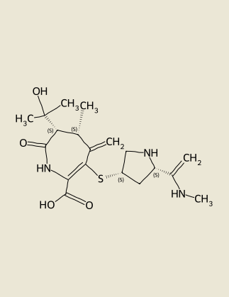 C=C(NC)[C@@H]1C[C@H](SC2=C(C(=O)O)NC(=O)[C@H](C(C)(C)O)[C@H](C)C2=C)CN1